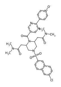 CN(C)C(=O)CC1CN(S(=O)(=O)c2ccc3cc(Cl)ccc3c2)CC(CC(=O)N(C)C)N1C(=O)c1cnc(-c2cc[n+]([O-])cc2)nc1